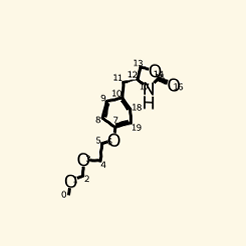 COCOCCOc1ccc(C[C@H]2COC(=O)N2)cc1